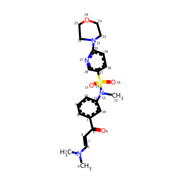 CN(C)/C=C/C(=O)c1cccc(N(C)S(=O)(=O)c2ccc(N3CCOCC3)nc2)c1